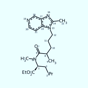 CCOC(=O)[C@H](CC(C)C)N(C)C(=O)C(C)CCCn1c(C)nc2cnccc21